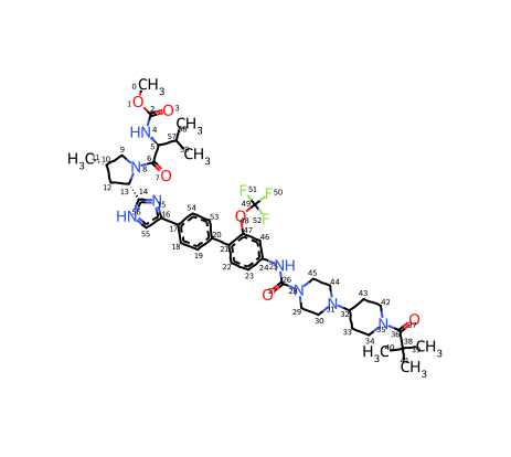 COC(=O)N[C@H](C(=O)N1C[C@@H](C)C[C@H]1c1nc(-c2ccc(-c3ccc(NC(=O)N4CCN(C5CCN(C(=O)C(C)(C)C)CC5)CC4)cc3OC(F)(F)F)cc2)c[nH]1)C(C)C